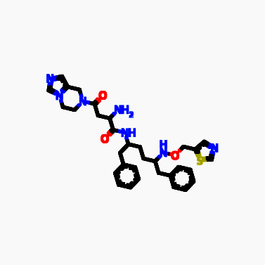 NC(CC(=O)N1CCn2cncc2C1)C(=O)NC(CCC(Cc1ccccc1)NOCc1cncs1)Cc1ccccc1